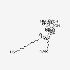 CCCCCCCCCCCCCCCC(=O)O[C@H](COC(=O)CCCCCCCCCCCCCCCS)COP(=O)(O)OC1C(O)[C@@H](OP(=O)(O)O)C(O)[C@@H](O)[C@H]1O